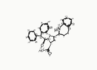 O=C(O)[C@@H]1C[C@H](C2CCc3ccccc3N2)CN1C(=O)C(c1ccccc1)c1ccccc1